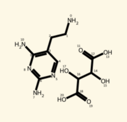 NCCc1cnc(N)nc1N.O=C(O)C(O)C(O)C(=O)O